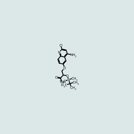 CC(C)(C)[Si](C)(C)OC(COc1ccc2nc(Cl)cc(N)c2c1)C(=O)O